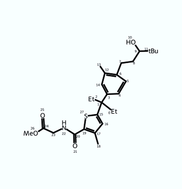 CCC(CC)(c1ccc(CCC(O)C(C)(C)C)c(C)c1)c1cc(C)c(C(=O)NCC(=O)OC)s1